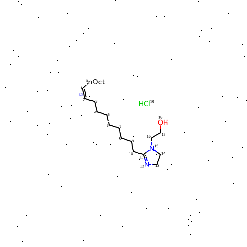 CCCCCCCC/C=C\CCCCCCCCC1=NCCN1CCO.Cl